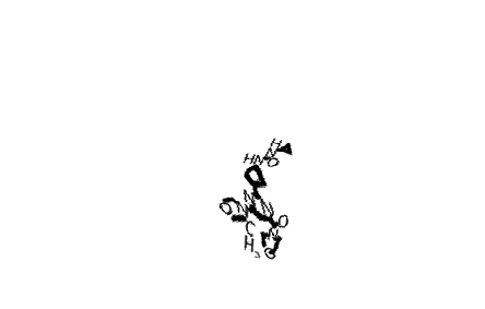 C[C@H]1COCCN1c1cc(C(=O)N2CCOCC2)nc(-c2ccc(NC(=O)NC3CC3)cc2)n1